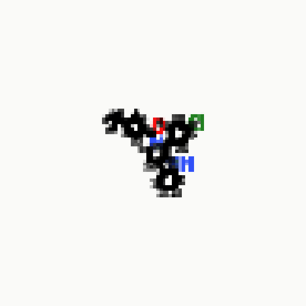 CC(C)(C)c1ccc(C(=O)N2CCc3c([nH]c4c3=CCCC=4)C2c2ccc(Cl)cc2)cc1